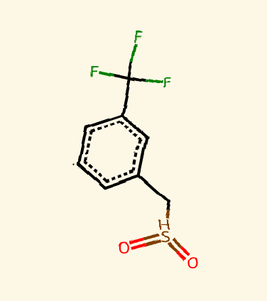 O=[SH](=O)Cc1c[c]cc(C(F)(F)F)c1